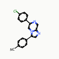 N#Cc1ccc(-c2cnc3cnc(-c4ccc(Cl)cc4)cn23)cc1